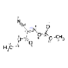 CCOC(=O)/C(C#N)=N\OC(=O)OC